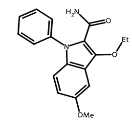 CCOc1c(C(N)=O)n(-c2ccccc2)c2ccc(OC)cc12